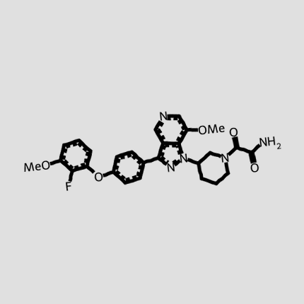 COc1cccc(Oc2ccc(-c3nn(C4CCCN(C(=O)C(N)=O)C4)c4c(OC)cncc34)cc2)c1F